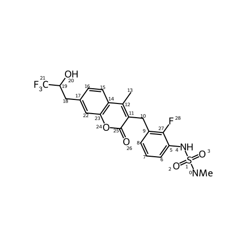 CNS(=O)(=O)Nc1cccc(Cc2c(C)c3ccc(CC(O)C(F)(F)F)cc3oc2=O)c1F